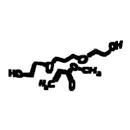 C=CC(=O)OC.OCCOCCCOCCO